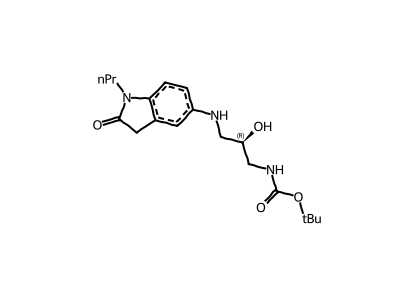 CCCN1C(=O)Cc2cc(NC[C@@H](O)CNC(=O)OC(C)(C)C)ccc21